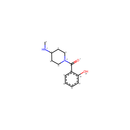 CNC1CCN(C(=O)c2ccccc2O)CC1